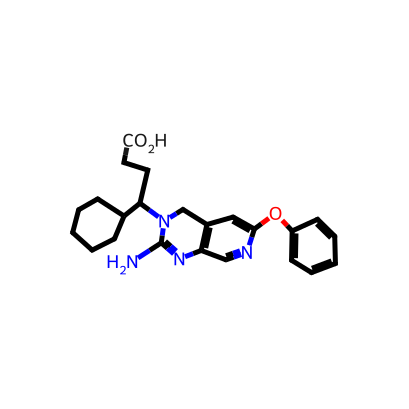 NC1=Nc2cnc(Oc3ccccc3)cc2CN1C(CCC(=O)O)C1CCCCC1